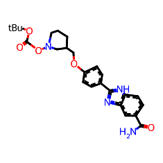 CC(C)(C)OC(=O)ON1CCCC(COc2ccc(-c3nc4cc(C(N)=O)ccc4[nH]3)cc2)C1